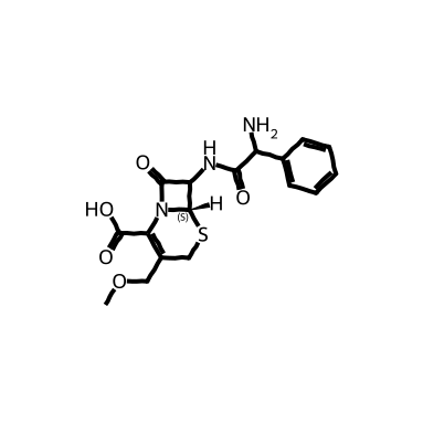 COCC1=C(C(=O)O)N2C(=O)C(NC(=O)C(N)c3ccccc3)[C@@H]2SC1